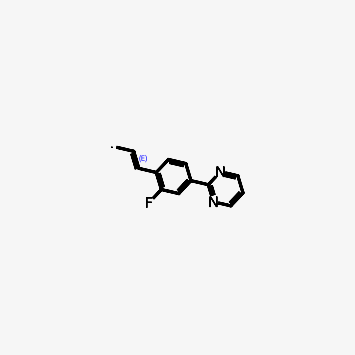 [CH2]/C=C/c1ccc(-c2ncccn2)cc1F